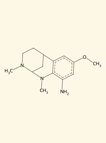 COc1cc(N)c2c(c1)C1CCN(C)C(C1)N2C